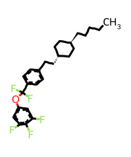 CCCCC[C@H]1CC[C@H](CCc2ccc(C(F)(F)Oc3cc(F)c(F)c(F)c3)cc2)CC1